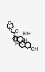 Br.C[C@]12CC[C@H]3[C@@H](CCC4CC(O)CC[C@@]43C)[C@@H]1CC[C@@H]2C(=O)CN1CCOCC1